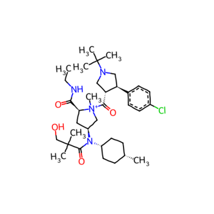 CCNC(=O)[C@@H]1C[C@H](N(C(=O)C(C)(C)CO)[C@H]2CC[C@@H](C)CC2)C[N+]1(C)C(=O)[C@@H]1CN(C(C)(C)C)C[C@H]1c1ccc(Cl)cc1